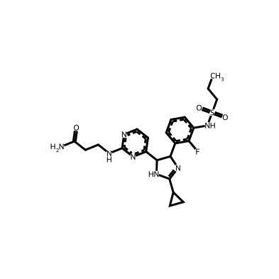 CCCS(=O)(=O)Nc1cccc(C2N=C(C3CC3)NC2c2ccnc(NCCC(N)=O)n2)c1F